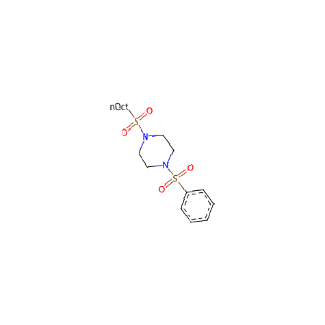 CCCCCCCCS(=O)(=O)N1CCN(S(=O)(=O)c2ccccc2)CC1